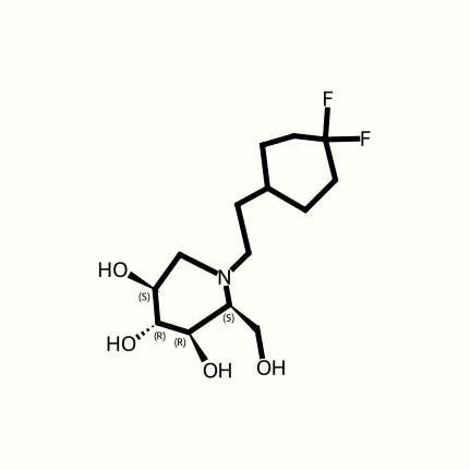 OC[C@H]1[C@@H](O)[C@H](O)[C@@H](O)CN1CCC1CCC(F)(F)CC1